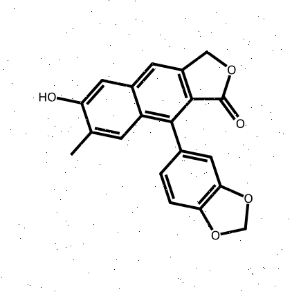 Cc1cc2c(-c3ccc4c(c3)OCO4)c3c(cc2cc1O)COC3=O